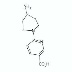 NC1CCN(c2ccc(C(=O)O)cn2)CC1